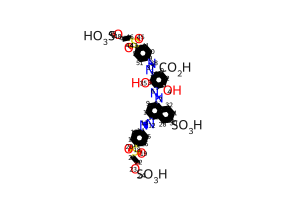 O=C(O)c1cc(O)c(N=Nc2ccc(N=Nc3ccc(S(=O)(=O)CCOS(=O)(=O)O)cc3)c3cc(S(=O)(=O)O)ccc23)c(O)c1N=Nc1ccc(S(=O)(=O)CCOS(=O)(=O)O)cc1